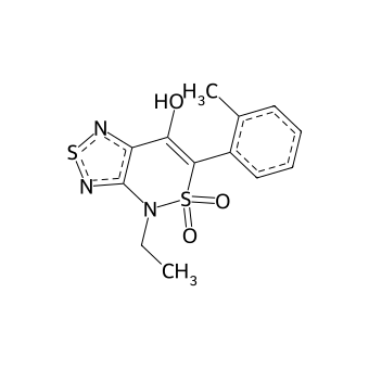 CCN1c2nsnc2C(O)=C(c2ccccc2C)S1(=O)=O